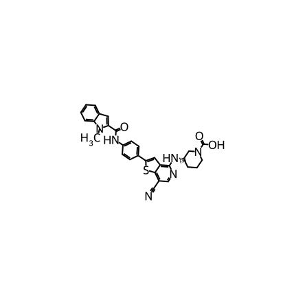 Cn1c(C(=O)Nc2ccc(-c3cc4c(N[C@H]5CCCN(C(=O)O)C5)ncc(C#N)c4s3)cc2)cc2ccccc21